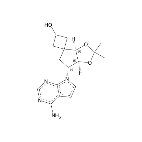 CC1(C)O[C@H]2[C@H](n3ccc4c(N)ncnc43)CC3(CC(O)C3)[C@H]2O1